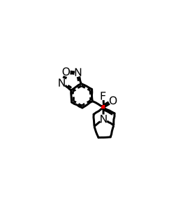 O=C(c1ccc2nonc2c1)N1C2C=C(F)CC1CC2